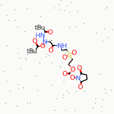 CC(C)(C)C(=O)NN(CC(=O)NCCS(=O)(=O)CCOC(=O)ON1C(=O)CCC1=O)OC(=O)C(C)(C)C